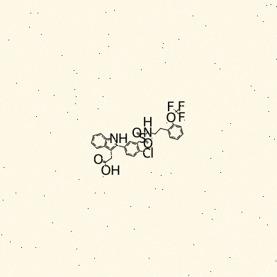 O=C(O)Cc1c(-c2ccc(Cl)c(S(=O)(=O)NCCc3ccccc3OC(F)(F)F)c2)[nH]c2ccccc12